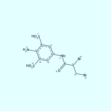 Nc1c(S(=O)(=O)O)cc(NC(=O)C(Br)CBr)cc1S(=O)(=O)O